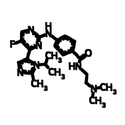 Cc1ncc(-c2nc(Nc3ccc(C(=O)NCCN(C)C)cc3)ncc2F)n1C(C)C